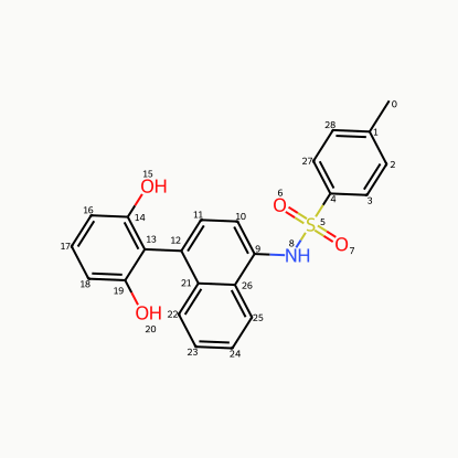 Cc1ccc(S(=O)(=O)Nc2ccc(-c3c(O)cccc3O)c3ccccc23)cc1